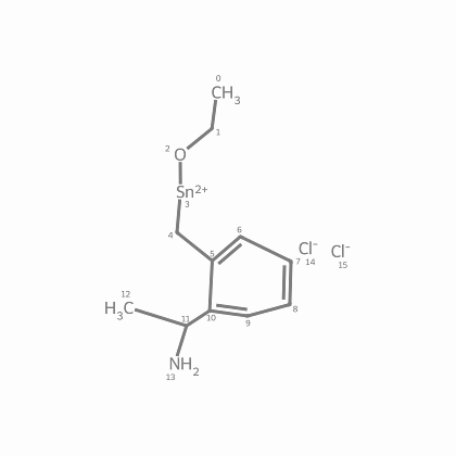 CC[O][Sn+2][CH2]c1ccccc1C(C)N.[Cl-].[Cl-]